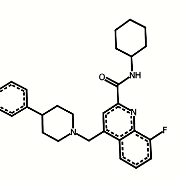 O=C(NC1CCCCC1)c1cc(CN2CCC(c3cccnc3)CC2)c2cccc(F)c2n1